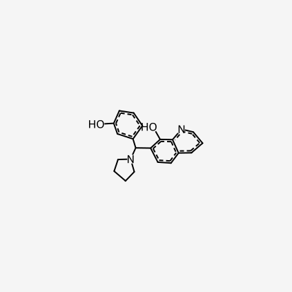 Oc1cccc(C(c2ccc3cccnc3c2O)N2CCCC2)c1